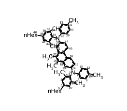 CCCCCCc1cc(C)c(N(c2ccc(C)cc2)c2ccc3c(c2)c(C)c(C)c2cc(N(c4ccc(C)cc4)c4c(C)cc(CCCCCC)cc4C)ccc23)c(C)c1